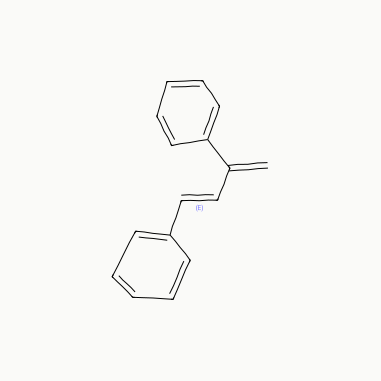 C=C(/C=C/c1ccccc1)c1ccccc1